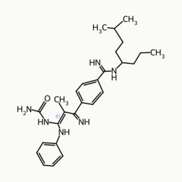 CCCC(CCC(C)C)NC(=N)c1ccc(C(=N)/C(C)=C(/NC(N)=O)Nc2ccccc2)cc1